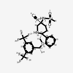 [C-]#[N+][C@]1(NS(C)(=O)=O)CC[C@@](CO[C@H](C)c2cc(C(F)(F)F)cc(C(F)(F)F)c2)(c2ccccc2)NC1